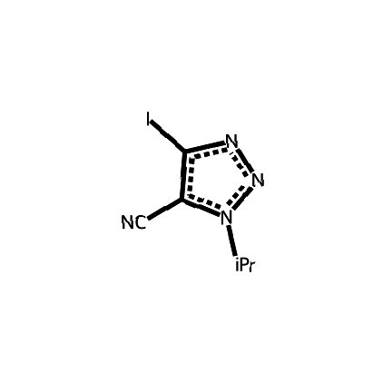 CC(C)n1nnc(I)c1C#N